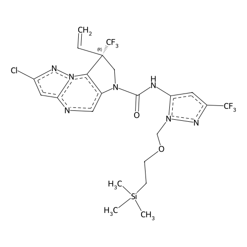 C=C[C@@]1(C(F)(F)F)CN(C(=O)Nc2cc(C(F)(F)F)nn2COCC[Si](C)(C)C)c2cnc3cc(Cl)nn3c21